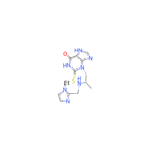 CCn1ccnc1CNC(C)Cn1c(=S)[nH]c(=O)c2[nH]cnc21